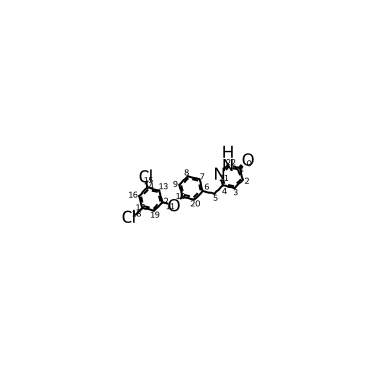 O=c1ccc(Cc2cccc(Oc3cc(Cl)cc(Cl)c3)c2)n[nH]1